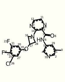 Cc1cncc(NC(=O)c2nccnc2N2CC(Oc3cc(F)c(F)c(Cl)c3)C2)c1